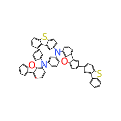 C=c1/c(=C(\C=C/C)N(c2ccccc2)c2cccc(N(c3ccc4sc5ccccc5c4c3)c3cccc4c3oc3ccc(-c5ccc6sc7ccccc7c6c5)cc34)c2)oc2ccccc12